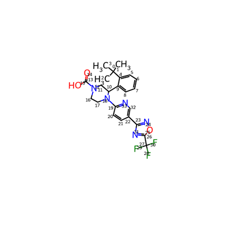 CC(C)(C)c1ccccc1C1CN(C(=O)O)CCN1c1ccc(-c2noc(C(F)(F)F)n2)cn1